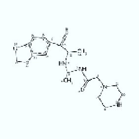 CC(NC(=O)CN1CCNCC1)NC(C)C(=O)c1ccc2c(c1)OCO2